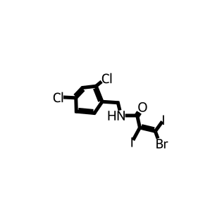 O=C(NCc1ccc(Cl)cc1Cl)C(I)=C(Br)I